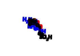 CCOP(=O)(/C=C\SCC(CN)NC(=O)c1ccc(N)cc1)Nc1ccc(C(=O)NCCNc2cccc3c(S(=O)(=O)O)cccc23)cc1